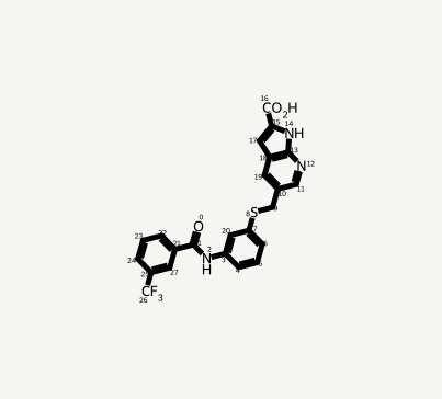 O=C(Nc1cccc(SCc2cnc3[nH]c(C(=O)O)cc3c2)c1)c1cccc(C(F)(F)F)c1